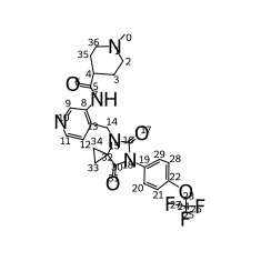 CN1CCC(C(=O)Nc2cnccc2CN2C(=O)N(c3ccc(OC(F)(F)F)cc3)C(=O)C23CC3)CC1